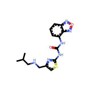 CC(C)CNCc1csc(NC(=O)Nc2cccc3nonc23)n1